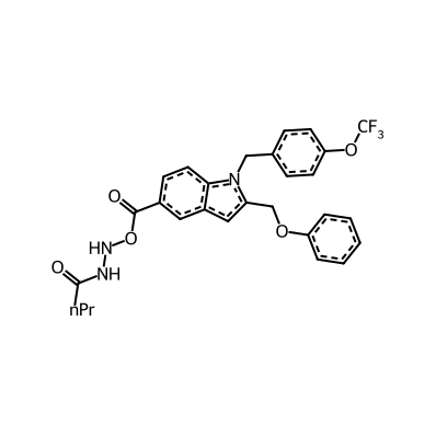 CCCC(=O)NNOC(=O)c1ccc2c(c1)cc(COc1ccccc1)n2Cc1ccc(OC(F)(F)F)cc1